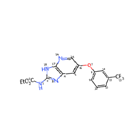 CCOC(=O)Nc1nc2cc(Oc3cccc(C(F)(F)F)c3)cnc2[nH]1